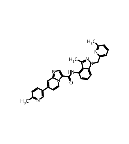 Cc1ccc(-c2ccn3c(C(=O)Nc4cccc5c4c(C)nn5Cc4cccc(C)n4)cnc3c2)cn1